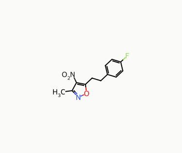 Cc1noc(CCc2ccc(F)cc2)c1[N+](=O)[O-]